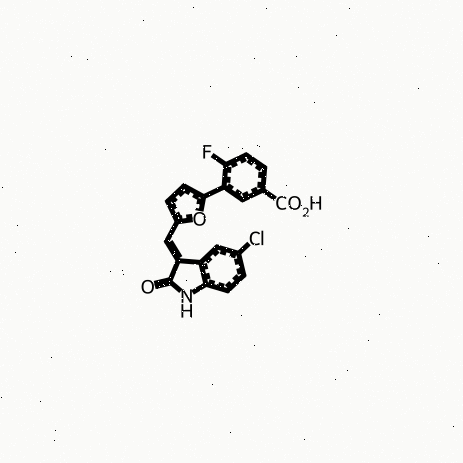 O=C1Nc2ccc(Cl)cc2C1=Cc1ccc(-c2cc(C(=O)O)ccc2F)o1